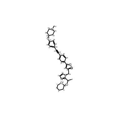 CC(OC1CCCCO1)c1nccn1Cc1cc(-c2ccc(C#Cc3ccc(OC4CCN(C)CC4)cc3)cc2)on1